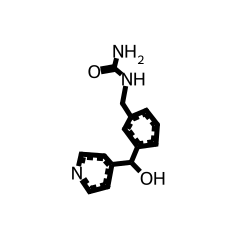 NC(=O)NCc1cccc(C(O)c2ccncc2)c1